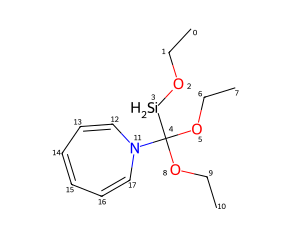 CCO[SiH2]C(OCC)(OCC)N1C=CC=CC=C1